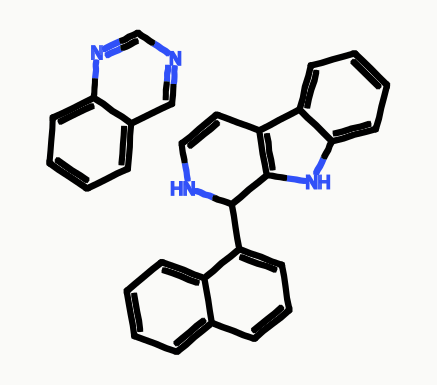 C1=Cc2c([nH]c3ccccc23)C(c2cccc3ccccc23)N1.c1ccc2ncncc2c1